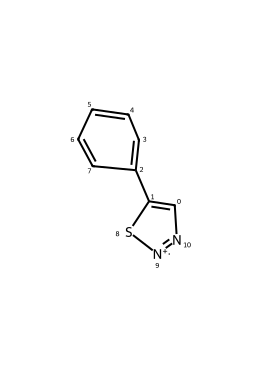 C1=C(c2ccccc2)S[N+]=N1